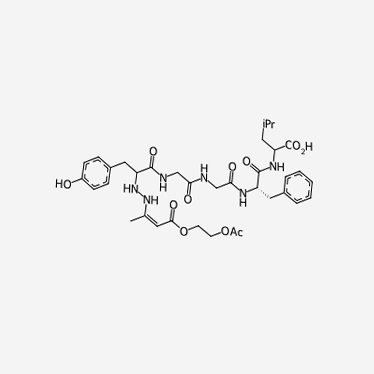 CC(=O)OCCOC(=O)/C=C(/C)NNC(Cc1ccc(O)cc1)C(=O)NCC(=O)NCC(=O)N[C@@H](Cc1ccccc1)C(=O)NC(CC(C)C)C(=O)O